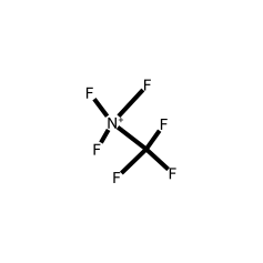 FC(F)(F)[N+](F)(F)F